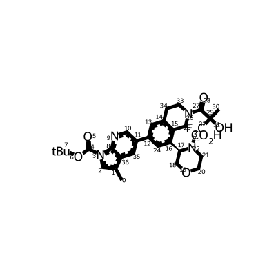 Cc1cn(C(=O)OC(C)(C)C)c2ncc(-c3cc4c(c([C@@H]5COCCN5C(=O)O)c3)CN(C(=O)C(C)(O)C(F)(F)F)CC4)cc12